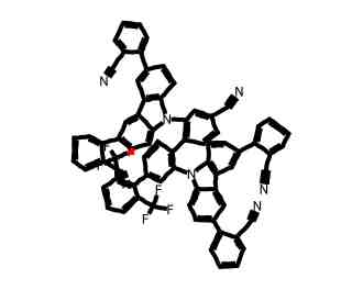 N#Cc1ccc(-c2ccc(-c3c(C(F)(F)F)cccc3C(F)(F)F)cc2-n2c3ccc(-c4ccccc4C#N)cc3c3cc(-c4ccccc4C#N)ccc32)c(-n2c3ccc(-c4ccccc4C#N)cc3c3cc(-c4ccccc4C#N)ccc32)c1